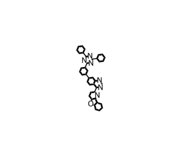 c1ccc(-c2nc(-c3ccccc3)nc(-c3cccc(-c4ccc5c(-c6ccc7oc8ccccc8c7n6)ncnc5c4)c3)n2)cc1